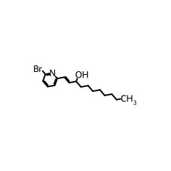 CCCCCCCCC(O)C=Cc1cccc(Br)n1